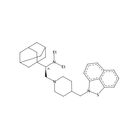 CCN(CC)[C@@H](CN1CCC(CN2Sc3cccc4cccc2c34)CC1)C12CC3CC(CC(C3)C1)C2